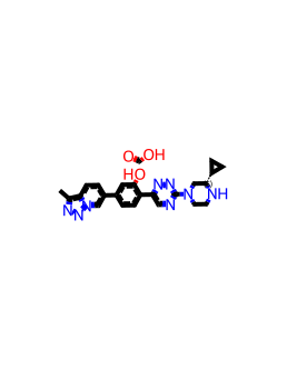 Cc1nnn2cc(-c3ccc(-c4cnc(N5CCN[C@@H](C6CC6)C5)nn4)c(O)c3)ccc12.O=CO